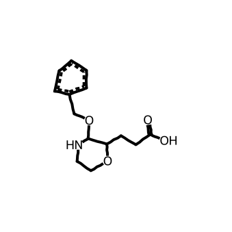 O=C(O)CCC1OCCNC1OCc1ccccc1